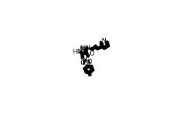 Cc1ccc(S(=O)(=O)N2Cc3[nH]nc(NC(=O)C=Cc4cccnc4)c3C2)cc1